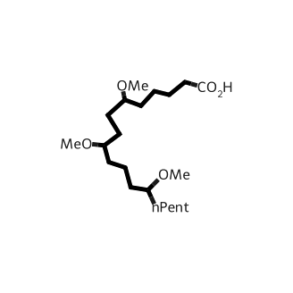 CCCCCC(CCCC(CCC(CCCCC(=O)O)OC)OC)OC